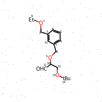 CCOCc1cccc(COC(C=O)COC(C)(C)C)c1